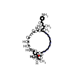 CC1/C=C/C=C/C=C/C=C/C=C/C=C/C=C/C(O[C@H]2C[C@@H](N)[C@H](O)[C@@H](C)O2)CC2OC(O)(CC(O)CC(O)CC(O)CC(=O)CCCC(=O)CC(=O)OC1C(C)CC(C)C(O)CC(=O)c1ccc(N)cc1)CC(O)C2C(=O)O